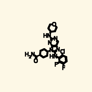 NC(=O)[C@H]1CC[C@@H](n2c(Nc3c(Cl)ccc(F)c3F)nc3cnc(NC4CCOCC4)nc32)CC1